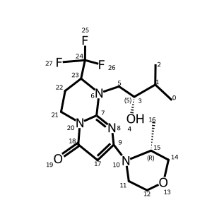 CC(C)[C@H](O)CN1c2nc(N3CCOC[C@H]3C)cc(=O)n2CCC1C(F)(F)F